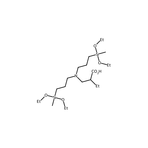 CCO[Si](C)(CCCN(CCC[Si](C)(OCC)OCC)CC(CC)C(=O)O)OCC